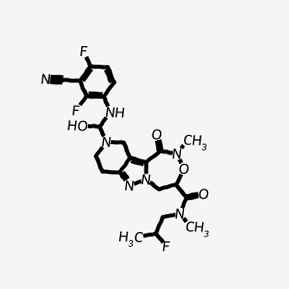 CC(F)CN(C)C(=O)C1Cn2nc3c(c2C(=O)N(C)O1)CN(C(O)Nc1ccc(F)c(C#N)c1F)CC3